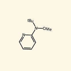 CON(c1ccccn1)C(C)(C)C